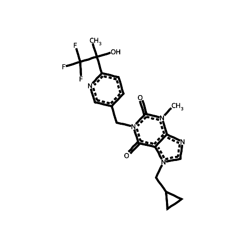 Cn1c(=O)n(Cc2ccc(C(C)(O)C(F)(F)F)nc2)c(=O)c2c1ncn2CC1CC1